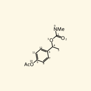 CNC(=O)OC(C)c1ccc(OC(C)=O)cc1